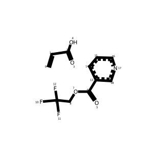 C=CC(=O)O.O=C(OCC(F)(F)F)c1cccnc1